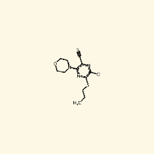 CCCSc1nc(N2CCOCC2)c(C#N)nc1Cl